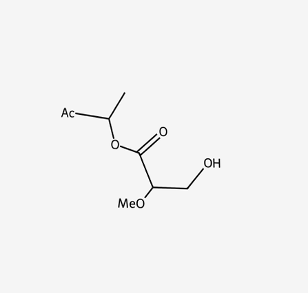 COC(CO)C(=O)OC(C)C(C)=O